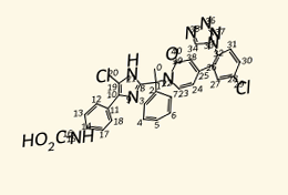 CC(c1ccccc1)(c1nc(-c2ccc(NC(=O)O)cc2)c(Cl)[nH]1)n1ccc(-c2cc(Cl)ccc2-n2cnnn2)cc1=O